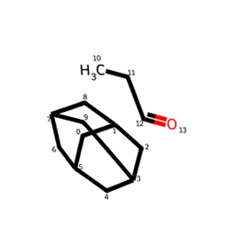 C1C2CC3CC1CC(C2)C3.CCC=O